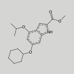 COC(=O)c1cc2c(OC(C)C)cc(OC3CCCCC3)cc2[nH]1